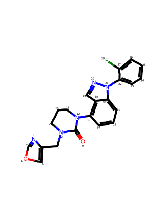 O=C1N(Cc2cocn2)CCCN1c1cccc2c1cnn2-c1ccccc1F